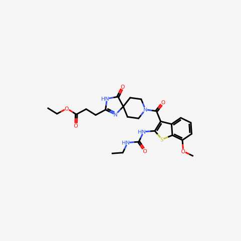 CCNC(=O)Nc1sc2c(OC)cccc2c1C(=O)N1CCC2(CC1)N=C(CCC(=O)OCC)NC2=O